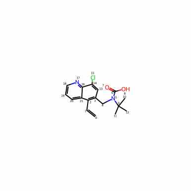 C=Cc1c(CN(C(=O)O)C(C)(C)C)cc(Cl)c2ncccc12